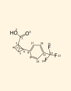 O=C(O)C12CC(C1)C2c1ccc(C(F)(F)F)cc1